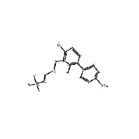 COc1ccc(-c2ccc(Br)c([CH]OCC[Si](C)(C)C)c2C)cc1